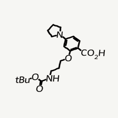 CC(C)(C)OC(=O)NCCCOc1cc(N2CCCC2)ccc1C(=O)O